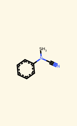 N#CN([SiH3])c1ccccc1